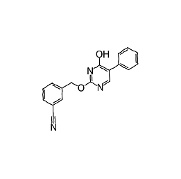 N#Cc1cccc(COc2ncc(-c3ccccc3)c(O)n2)c1